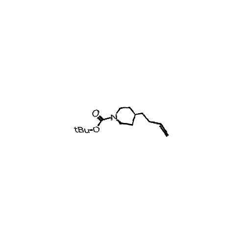 C=CCCC1CCN(C(=O)OC(C)(C)C)CC1